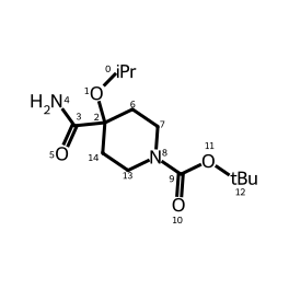 CC(C)OC1(C(N)=O)CCN(C(=O)OC(C)(C)C)CC1